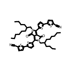 CCCCCCC(CCCC)CN1C(=O)C2=C(c3ccc(-c4ccc(C#N)s4)s3)N(CC(CCCC)CCCCCC)C(=O)C2=C1c1ccc(-c2ccc(C#N)s2)s1